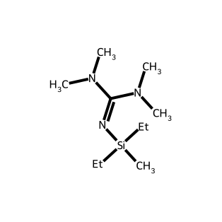 CC[Si](C)(CC)N=C(N(C)C)N(C)C